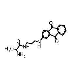 C[C@H](N)C(=O)NCCCNc1ccc2c(c1)C(=O)c1ccccc1C2=O